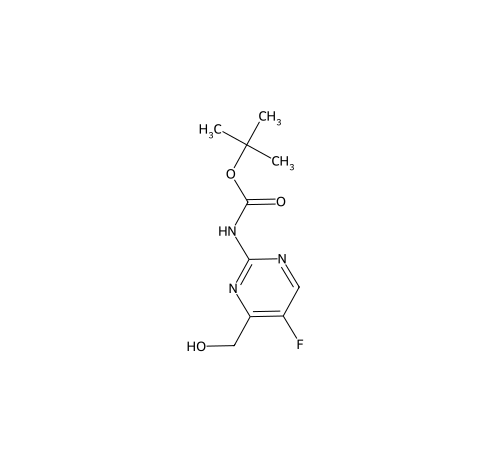 CC(C)(C)OC(=O)Nc1ncc(F)c(CO)n1